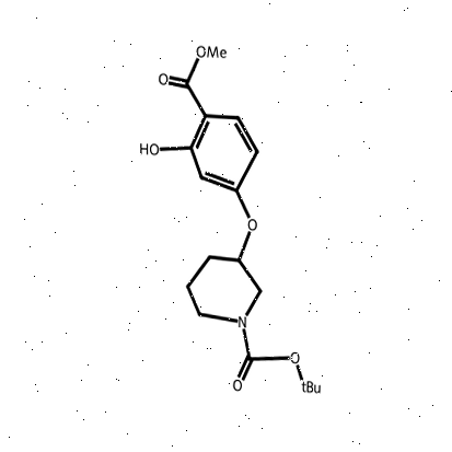 COC(=O)c1ccc(OC2CCCN(C(=O)OC(C)(C)C)C2)cc1O